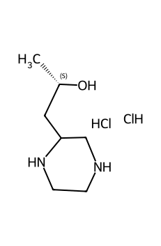 C[C@H](O)CC1CNCCN1.Cl.Cl